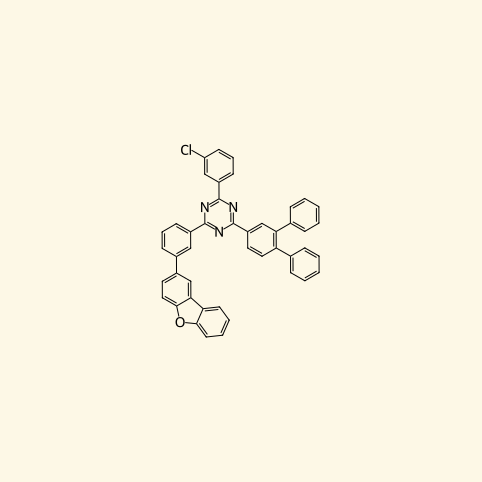 Clc1cccc(-c2nc(-c3cccc(-c4ccc5oc6ccccc6c5c4)c3)nc(-c3ccc(-c4ccccc4)c(-c4ccccc4)c3)n2)c1